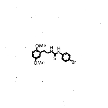 COc1ccc(OC)c(CCNC(=S)Nc2ccc(Br)cc2)c1